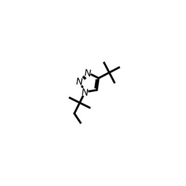 CCC(C)(C)n1cc(C(C)(C)C)nn1